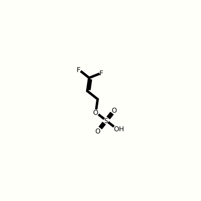 O=S(=O)(O)OCC=C(F)F